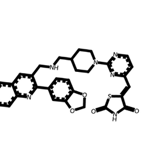 O=C1NC(=O)C(=Cc2ccnc(N3CCC(CNCc4cc5ccccc5nc4-c4ccc5c(c4)OCO5)CC3)n2)S1